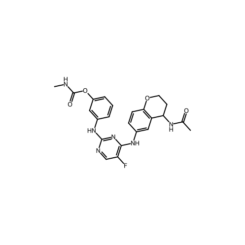 CNC(=O)Oc1cccc(Nc2ncc(F)c(Nc3ccc4c(c3)C(NC(C)=O)CCO4)n2)c1